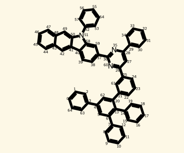 c1ccc(-c2cc(-c3ccccc3)c(-c3ccccc3)c(-c3cccc(-c4cc(-c5ccccc5)nc(-c5ccc6c7cc8ccccc8cc7n(-c7ccccc7)c6c5)n4)c3)c2)cc1